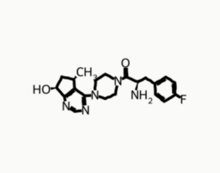 C[C@@H]1C[C@H](O)c2ncnc(N3CCN(C(=O)[C@H](N)Cc4ccc(F)cc4)CC3)c21